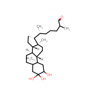 CC([C]=O)CCC[C@@H](C)[C@H]1CC[C@H]2[C@@H]3CCC4CC(O)(O)C(O)C[C@]4(C)[C@H]3CC[C@]12C